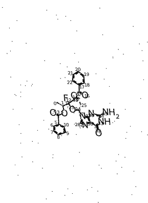 C[C@H](OC(=O)c1ccccc1)[C@@](F)(COC(=O)c1ccccc1)O[C@H](CF)n1cnc2c(=O)[nH]c(N)nc21